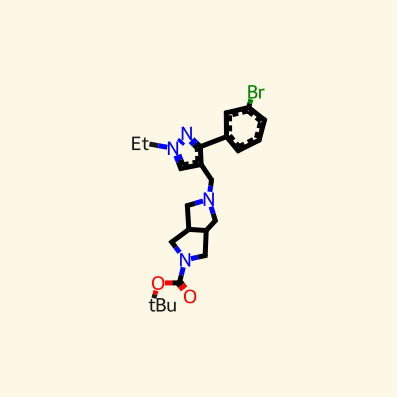 CCn1cc(CN2CC3CN(C(=O)OC(C)(C)C)CC3C2)c(-c2cccc(Br)c2)n1